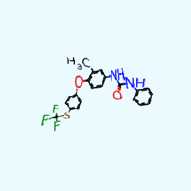 Cc1cc(NC(=O)Nc2ccccc2)ccc1Oc1ccc(SC(F)(F)F)cc1